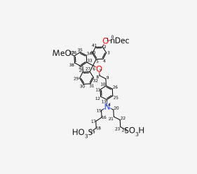 CCCCCCCCCCOc1ccc(C(OCCc2ccc(N(CCCCS(=O)(=O)O)CCCCS(=O)(=O)O)cc2)(c2ccccc2)c2ccc(OC)cc2)cc1